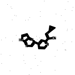 N#CC(=CC1CC1)c1cc(-c2cnc3[nH]ccc3n2)ccn1